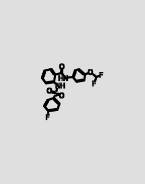 O=C(Nc1ccc(OC(F)F)cc1)c1ccccc1NS(=O)(=O)c1ccc(F)cc1